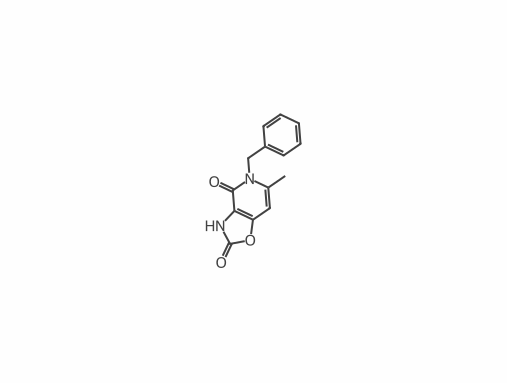 Cc1cc2oc(=O)[nH]c2c(=O)n1Cc1ccccc1